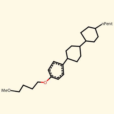 CCCCCC1CCC(C2CCC(c3ccc(OCCCCOC)cc3)CC2)CC1